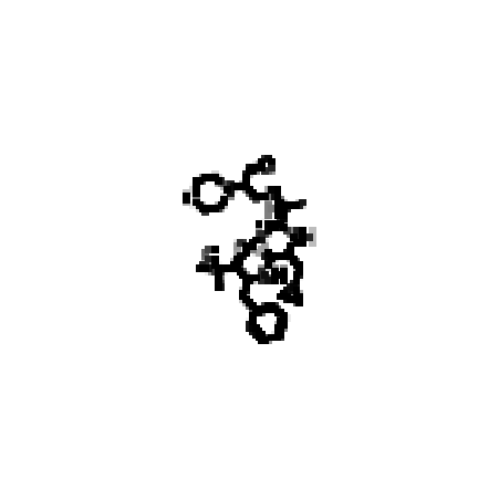 CC(NCC(C=O)N1CCOCC1)C(=O)NC(CC1CC1)C(=O)NC(Cc1ccccc1)C(=O)C1(C)CO1